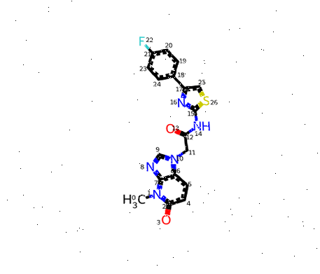 Cn1c(=O)ccc2c1ncn2CC(=O)Nc1nc(-c2ccc(F)cc2)cs1